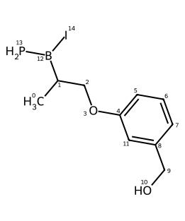 CC(COc1cccc(CO)c1)B(P)I